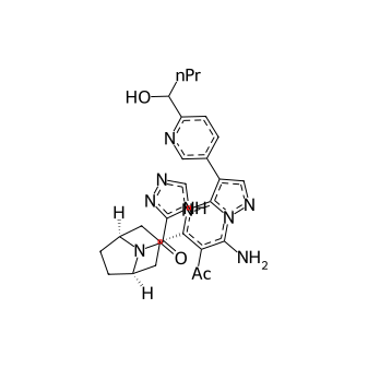 CCCC(O)c1ccc(-c2cnn3c(N)c(C(C)=O)c([C@@H]4C[C@H]5CC[C@@H](C4)N5C(=O)c4nnc[nH]4)nc23)cn1